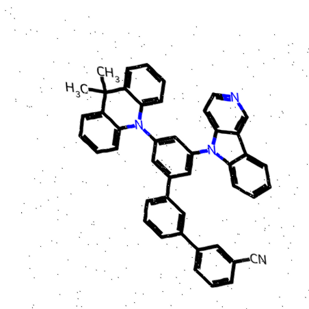 CC1(C)c2ccccc2N(c2cc(-c3cccc(-c4cccc(C#N)c4)c3)cc(-n3c4ccccc4c4cnccc43)c2)c2ccccc21